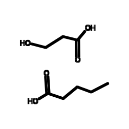 CCCCC(=O)O.O=C(O)CCO